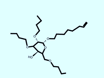 C=CCCCCCCO[C@@H]1OC(COCCCC)[C@@H](O)C(OCCCC)[C@@H]1OCCCC